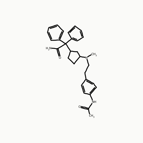 CC(=O)Nc1ccc(CCN(C)C2CCC(C(C(N)=O)(c3ccccc3)c3ccccc3)C2)cc1